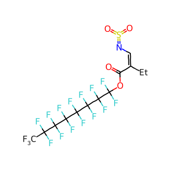 CCC(=CN=S(=O)=O)C(=O)OC(F)(F)C(F)(F)C(F)(F)C(F)(F)C(F)(F)C(F)(F)C(F)(F)C(F)(F)F